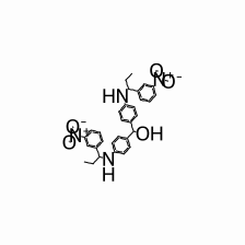 CCC(Nc1ccc(C(O)c2ccc(NC(CC)c3cccc([N+](=O)[O-])c3)cc2)cc1)c1cccc([N+](=O)[O-])c1